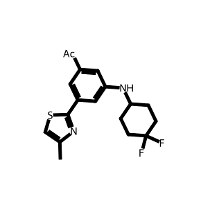 CC(=O)c1cc(NC2CCC(F)(F)CC2)cc(-c2nc(C)cs2)c1